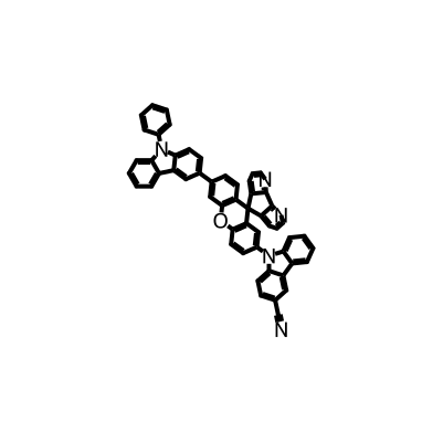 N#Cc1ccc2c(c1)c1ccccc1n2-c1ccc2c(c1)C1(c3ccc(-c4ccc5c(c4)c4ccccc4n5-c4ccccc4)cc3O2)c2cccnc2-c2ncccc21